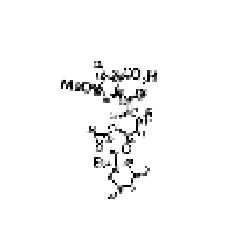 C=C1CC(C)CC(CC)(COc2cc(F)c(C(=O)N3C[C@H](OC)C(C)[C@H]3C(=O)O)cc2C2CC2)C1